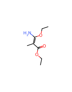 CCOC(=O)/C(C)=C(/N)OCC